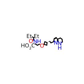 CCC(CC)C(=O)N[C@@H](CCO[C@H]1C[C@H](CCc2ccc3c(n2)NCCC3)C1)C(=O)O